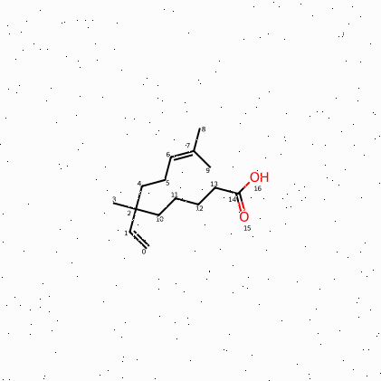 C=CC(C)(CCC=C(C)C)CCCCC(=O)O